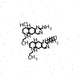 CCCN1CCC[C@@H]2Cc3nc(N)ncc3C[C@H]21.CCCN1CCC[C@@H]2Cc3nc(N)ncc3C[C@H]21.Cl.Cl.Cl.Cl